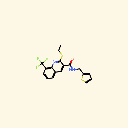 CCSc1nc2c(C(F)(F)F)cccc2cc1C(=O)NCc1cccs1